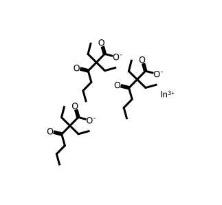 CCCC(=O)C(CC)(CC)C(=O)[O-].CCCC(=O)C(CC)(CC)C(=O)[O-].CCCC(=O)C(CC)(CC)C(=O)[O-].[In+3]